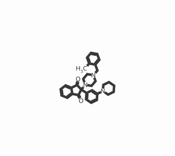 Cc1ccccc1CN1CCN(C2(c3cccc(N4CCCCC4)c3)C(=O)c3ccccc3C2=O)CC1